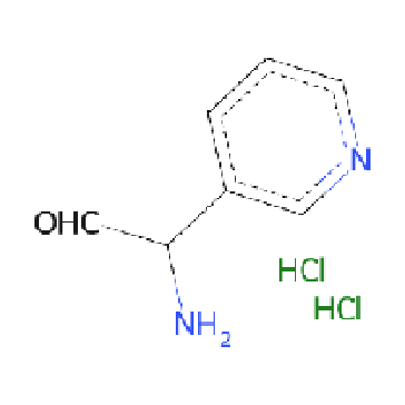 Cl.Cl.NC(C=O)c1cccnc1